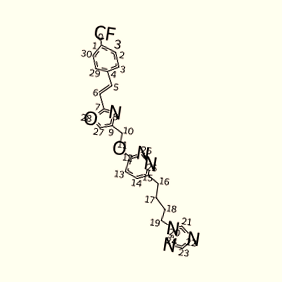 FC(F)(F)c1ccc(C=Cc2nc(COc3ccc(CCCCn4cncn4)nn3)co2)cc1